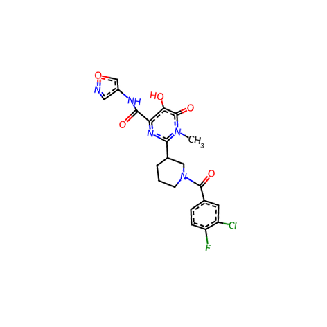 Cn1c(C2CCCN(C(=O)c3ccc(F)c(Cl)c3)C2)nc(C(=O)Nc2cnoc2)c(O)c1=O